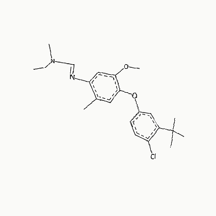 CCN(C)/C=N/c1cc(OC)c(Oc2ccc(Cl)c(C(C)(C)C)c2)cc1C